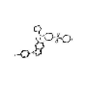 Cc1cc2c(cnn2-c2ccc(F)cc2)cc1[C@H]1CN(S(=O)(=O)N2CCOCC2)CCN1CC1CCCC1